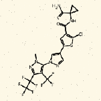 Cn1nc(C(F)(F)C(F)(F)F)c(C(F)(F)F)c1-n1cc(-c2cc(C(=O)NC3(C(N)=S)CC3)c(Cl)s2)cn1